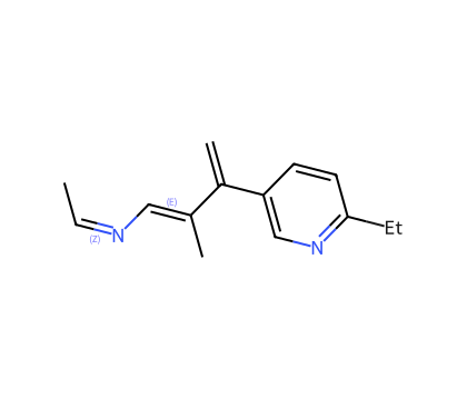 C=C(/C(C)=C/N=C\C)c1ccc(CC)nc1